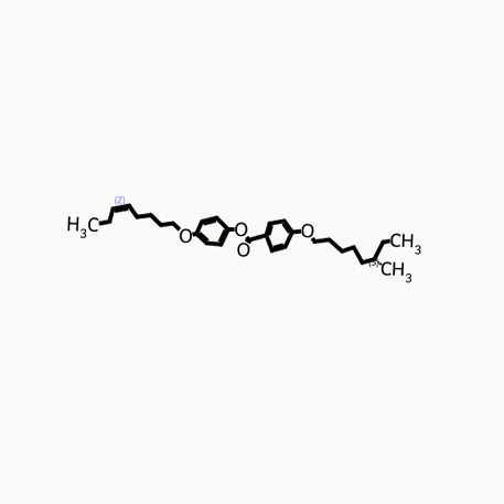 CC/C=C\CCCCOc1ccc(OC(=O)c2ccc(OCCCCC[C@@H](C)CC)cc2)cc1